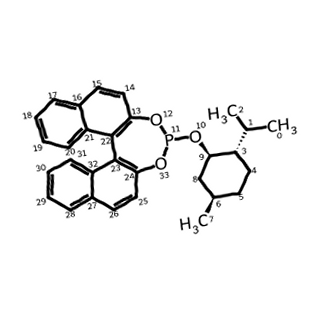 CC(C)[C@@H]1CC[C@@H](C)C[C@H]1Op1oc2ccc3ccccc3c2c2c(ccc3ccccc32)o1